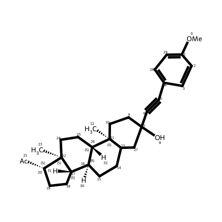 COc1ccc(C#CC2(O)CC[C@@]3(C)C(CC[C@H]4[C@@H]5CC[C@H](C(C)=O)[C@@]5(C)CC[C@@H]43)C2)cc1